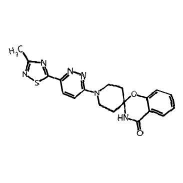 Cc1nsc(-c2ccc(N3CCC4(CC3)NC(=O)c3ccccc3O4)nn2)n1